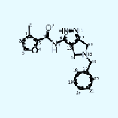 Cc1ccoc1C(=O)Nc1[nH]nc2c1CN(Cc1ccccc1)C2